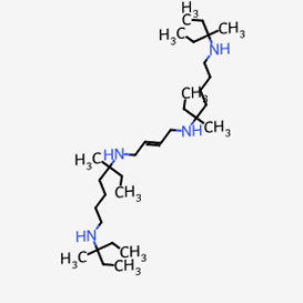 CCC(C)(CC)NCCCCC(C)(CC)NC/C=C/CNC(C)(CC)CCCCNC(C)(CC)CC